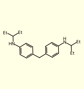 CCC(CC)Nc1ccc(Cc2ccc(NC(CC)CC)cc2)cc1